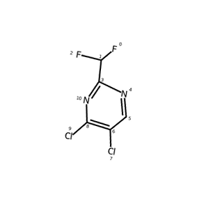 FC(F)c1ncc(Cl)c(Cl)n1